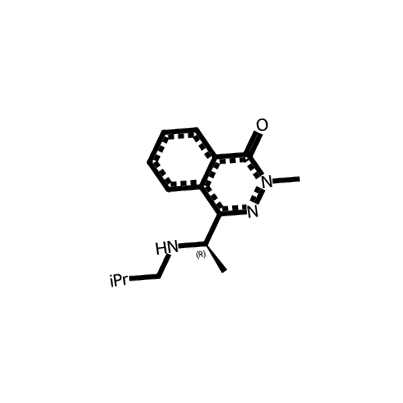 CC(C)CN[C@H](C)c1nn(C)c(=O)c2ccccc12